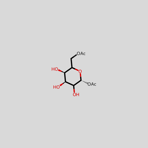 CC(=O)OCC1O[C@H](OC(C)=O)C(O)[C@@H](O)[C@H]1O